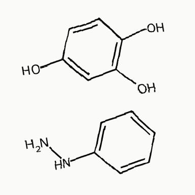 NNc1ccccc1.Oc1ccc(O)c(O)c1